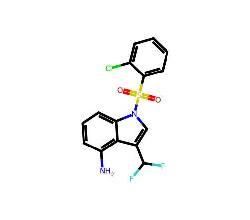 Nc1cccc2c1c(C(F)F)cn2S(=O)(=O)c1ccccc1Cl